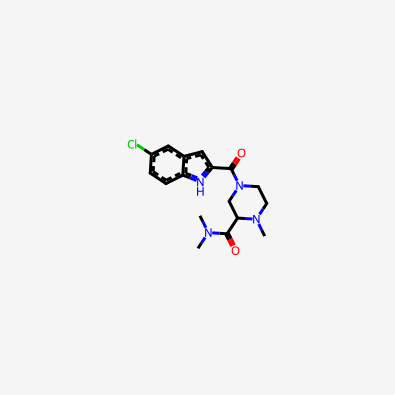 CN(C)C(=O)C1CN(C(=O)c2cc3cc(Cl)ccc3[nH]2)CCN1C